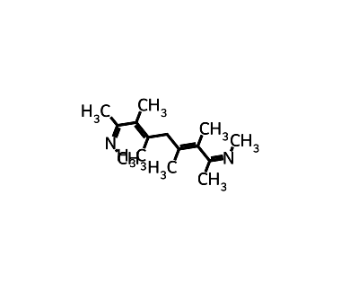 C/N=C(C)\C(C)=C(/C)C/C(C)=C(C)/C(C)=N\C